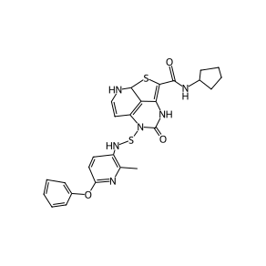 Cc1nc(Oc2ccccc2)ccc1NSN1C(=O)NC2=C(C(=O)NC3CCCC3)SC3NC=CC1=C23